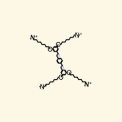 C[N+](C)(C)CCCCCCCCOc1cc(/C=C/c2ccc(/C=C/c3cc(OCCCCCCCC[N+](C)(C)C)cc(OCCCCCCCC[N+](C)(C)C)c3)cc2)cc(OCCCCCCCC[N+](C)(C)C)c1